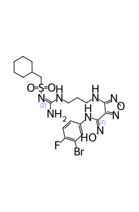 N/C(=N/S(=O)(=O)CC1CCCCC1)NCCCNc1nonc1/C(=N/O)Nc1ccc(F)c(Br)c1